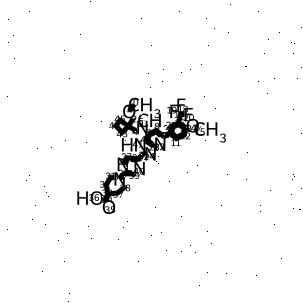 COCC1(CN(C)c2cc(-c3ccc(OC)c(C(F)(F)F)c3)nc3nc(-c4cnc(N5CCC(C(=O)O)CC5)cn4)[nH]c23)CCC1